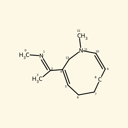 C/N=C(\C)C1=CCCC/C=C\N(C)C1